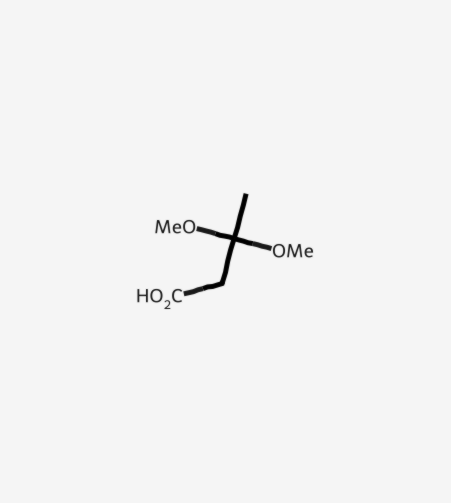 COC(C)(CC(=O)O)OC